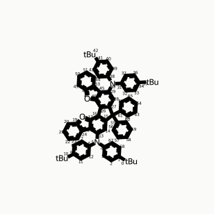 CC(C)(C)c1ccc(N(c2ccc(C(C)(C)C)cc2)c2cc3c(c4oc5ccccc5c24)-c2c(cc(N(c4ccc(C(C)(C)C)cc4)c4ccc(C(C)(C)C)cc4)c4c2oc2ccccc24)C3(c2ccccc2)c2ccccc2)cc1